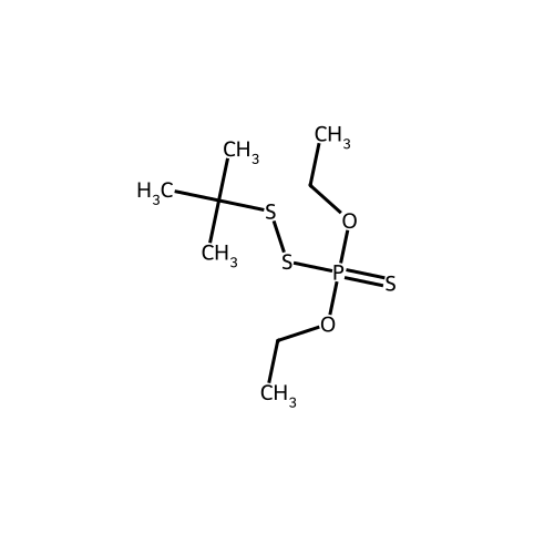 CCOP(=S)(OCC)SSC(C)(C)C